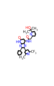 Cc1cc(-c2nc3c(NC(=O)Cc4cccc(C(C)(C)O)n4)cc(=O)[nH]c3nc2-c2ccccc2)cc(C(F)(F)F)n1